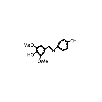 COc1cc(C=Nc2ccc(C)cc2)cc(OC)c1O